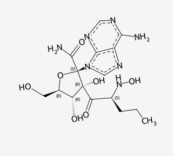 CCC[C@H](NO)C(=O)[C@@]1(O)[C@H](O)[C@@H](CO)O[C@@]1(C(N)=O)n1cnc2c(N)ncnc21